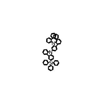 c1ccc(-c2ccccc2-n2c3cc(-n4c5ccccc5c5cc([Si](c6ccccc6)(c6ccccc6)c6ccccc6)ccc54)ccc3c3cccc(-c4ccccc4)c32)cc1